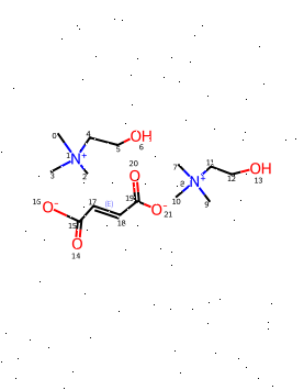 C[N+](C)(C)CCO.C[N+](C)(C)CCO.O=C([O-])/C=C/C(=O)[O-]